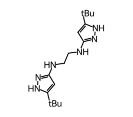 CC(C)(C)c1cc(NCCNc2cc(C(C)(C)C)[nH]n2)n[nH]1